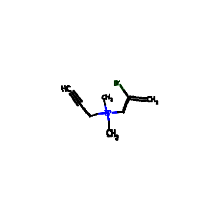 C#CC[N+](C)(C)CC(=C)Br